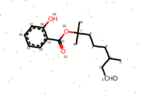 CC(CC=O)CCCC(C)(C)OC(=O)c1ccccc1O